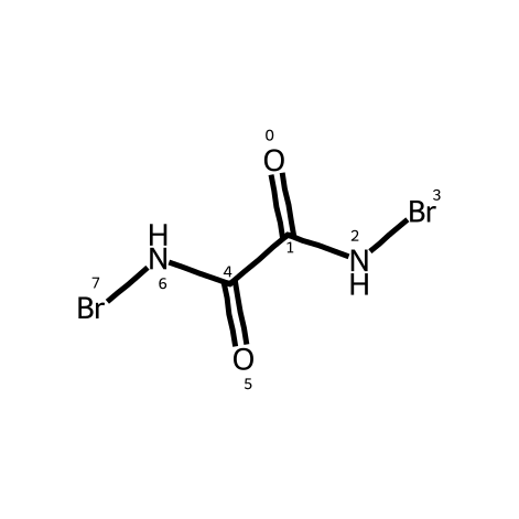 O=C(NBr)C(=O)NBr